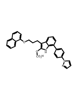 O=C(O)Oc1[nH]c2c(-c3ccc(-n4cccn4)cc3)cccc2c1CCCOc1cccc2ccccc12